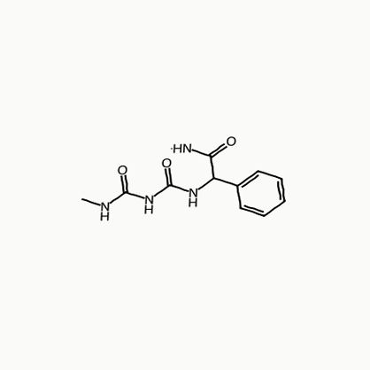 CNC(=O)NC(=O)NC(C([NH])=O)c1ccccc1